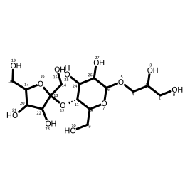 OCC(O)COC1OC(CO)[C@H](OC2(CO)OC(CO)C(O)C2O)C(O)C1O